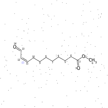 COC(=O)CCCCCCC/C=C\C=O